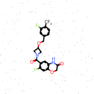 O=C1COc2cc(F)c(C(=O)N3CC(OCc4ccc(C(F)(F)F)c(F)c4)C3)cc2N1